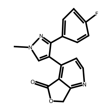 Cn1cc(-c2ccnc3c2C(=O)OC3)c(-c2ccc(F)cc2)n1